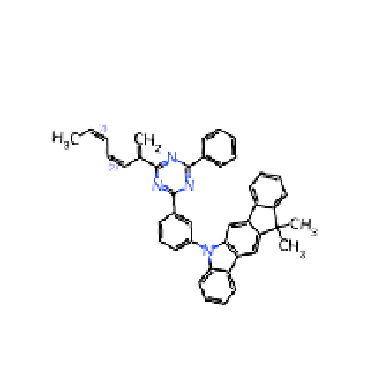 C=C(/C=C\C=C/C)c1nc(-c2ccccc2)nc(-c2cccc(-n3c4ccccc4c4cc5c(cc43)-c3ccccc3C5(C)C)c2)n1